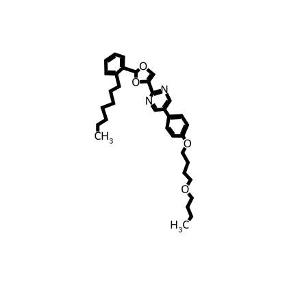 CCCCCCCc1ccccc1C1OC=C(c2ncc(-c3ccc(OCCCCOCCCC)cc3)cn2)O1